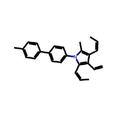 C=Cc1c(/C=C\C)c(C)n(-c2ccc(-c3ccc(C)cc3)cc2)c1/C=C\C